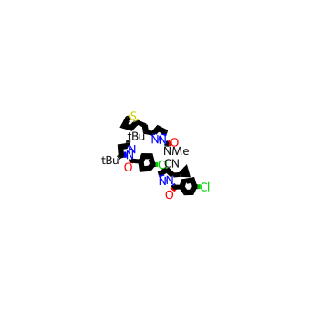 CC(C)(C)c1cc(C(C)(C)C)n(C(=O)c2ccc(Cl)cc2)n1.CNC(=O)n1ccc(C=Cc2cccs2)n1.N#Cc1cnn(C(=O)c2ccc(Cl)cc2)c1C1CC1